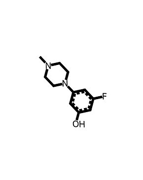 CN1CCN(c2cc(O)cc(F)c2)CC1